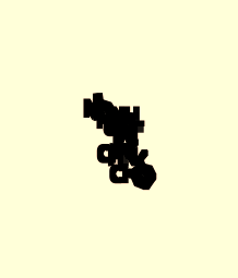 Cc1cc(NS(=O)(=O)c2cc(Cl)c(N[C@@H](C)c3ccccc3Cl)cc2F)ncn1